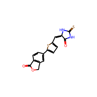 O=C1NC(=S)NC1=Cc1ccc(-c2ccc3c(c2)COC3=O)s1